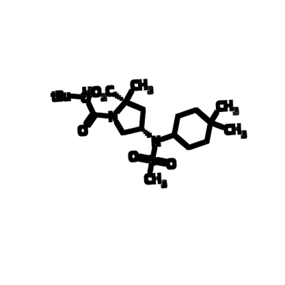 CC1(C)CCC(N([C@@H]2CN(C(=O)OC(C)(C)C)[C@](C)(C(=O)O)C2)S(C)(=O)=O)CC1